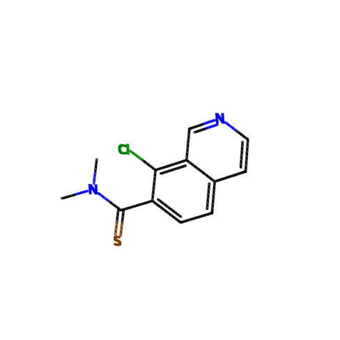 CN(C)C(=S)c1ccc2ccncc2c1Cl